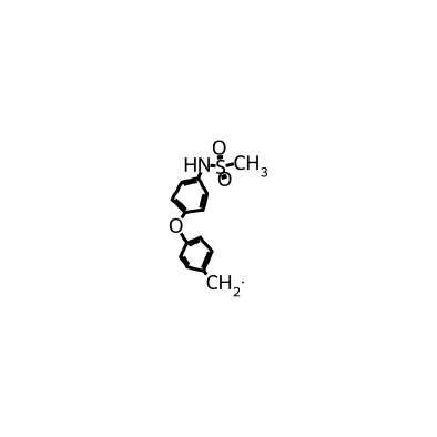 [CH2]c1ccc(Oc2ccc(NS(C)(=O)=O)cc2)cc1